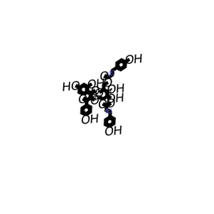 O=C(/C=C/c1ccc(O)cc1)OCC1O[C@@H](Oc2c(-c3ccc(O)cc3)oc3cc(O)cc(O)c3c2=O)C(OC(=O)/C=C/c2ccc(O)cc2)C(O)[C@@H]1O